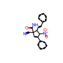 N#CC1(C(N)=O)C=C(c2ccccc2)C([N+](=O)[O-])C1/C=C/c1ccccc1